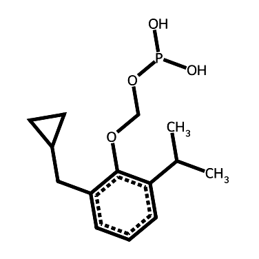 CC(C)c1cccc(CC2CC2)c1OCOP(O)O